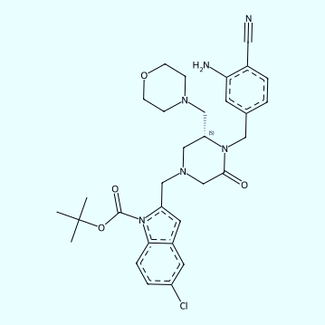 CC(C)(C)OC(=O)n1c(CN2CC(=O)N(Cc3ccc(C#N)c(N)c3)[C@@H](CN3CCOCC3)C2)cc2cc(Cl)ccc21